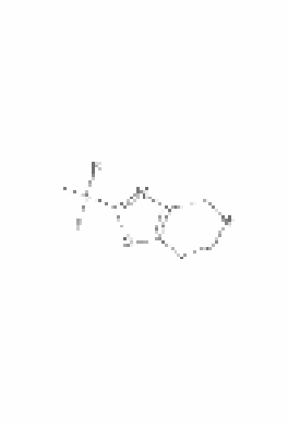 FC(F)(F)c1nc2c(s1)CC[N]C2